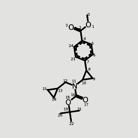 COC(=O)c1ccc(C2CC2N(CC2CC2)C(=O)OC(C)(C)C)cc1